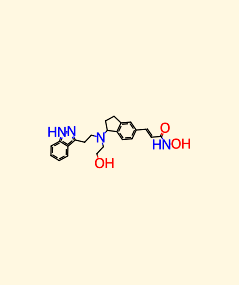 O=C(C=Cc1ccc2c(c1)CCC2N(CCO)CCc1n[nH]c2ccccc12)NO